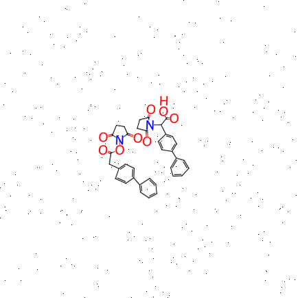 O=C(Cc1ccc(-c2ccccc2)cc1)ON1C(=O)CCC1=O.O=C(O)C(c1ccc(-c2ccccc2)cc1)N1C(=O)CCC1=O